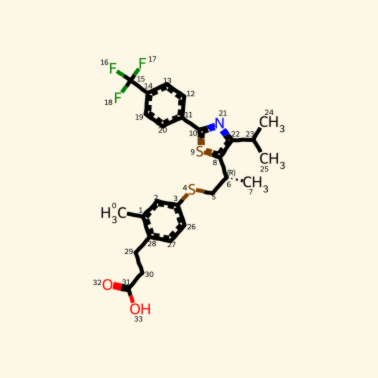 Cc1cc(SC[C@@H](C)c2sc(-c3ccc(C(F)(F)F)cc3)nc2C(C)C)ccc1CCC(=O)O